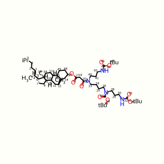 CC(C)CCC[C@@H](C)[C@H]1CC[C@H]2[C@@H]3CC=C4C[C@@H](OC(=O)CC(=O)N(CCCCN(CCCNC(=O)OC(C)(C)C)C(=O)OC(C)(C)C)CCCNC(=O)OC(C)(C)C)CC[C@]4(C)[C@H]3CC[C@]12C